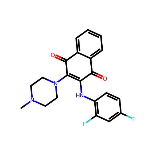 CN1CCN(C2=C(Nc3ccc(F)cc3F)C(=O)c3ccccc3C2=O)CC1